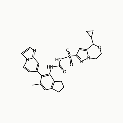 Cc1cc2c(c(NC(=O)NS(=O)(=O)c3cc4n(n3)CCOC4C3CC3)c1-c1ccn3ccnc3c1)CCC2